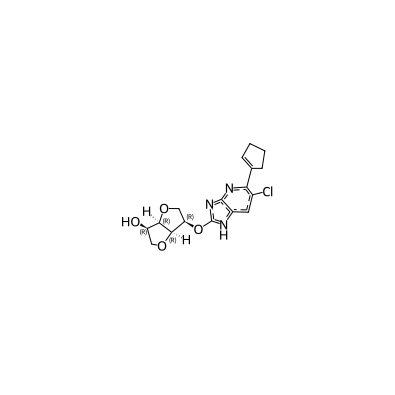 O[C@@H]1CO[C@H]2[C@@H]1OC[C@H]2Oc1nc2nc(C3=CCCC3)c(Cl)cc2[nH]1